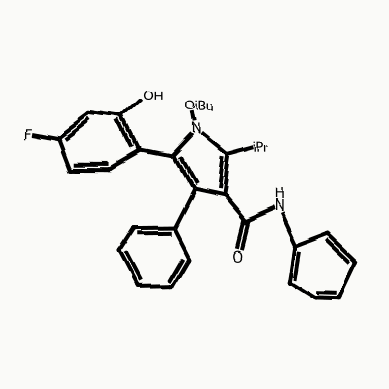 CC(C)COn1c(-c2ccc(F)cc2O)c(-c2ccccc2)c(C(=O)Nc2ccccc2)c1C(C)C